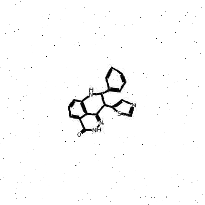 O=c1[nH]nc2c3c(cccc13)NC(c1ccccc1)C2c1cncs1